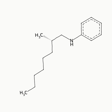 CCCCCC[C@H](C)CNc1ccccc1